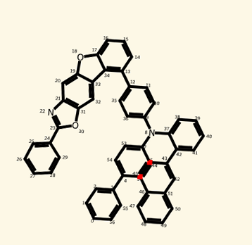 c1ccc(-c2ccc(N(c3ccc(-c4cccc5oc6cc7nc(-c8ccccc8)oc7cc6c45)cc3)c3ccccc3-c3ccc4ccccc4c3)cc2)cc1